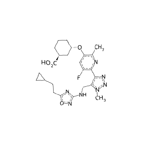 Cc1nc(-c2nnn(C)c2CNc2noc(CCC3CC3)n2)c(F)cc1O[C@H]1CCC[C@H](C(=O)O)C1